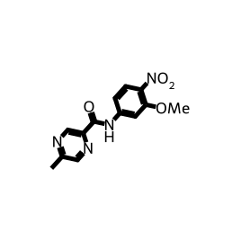 COc1cc(NC(=O)c2cnc(C)cn2)ccc1[N+](=O)[O-]